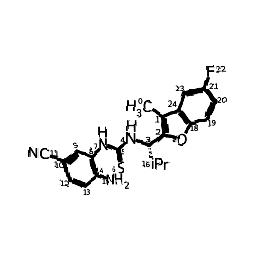 Cc1c([C@@H](NC(=S)Nc2cc(C#N)ccc2N)C(C)C)oc2ccc(F)cc12